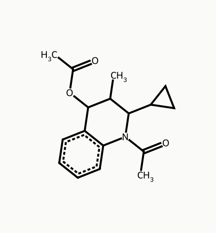 CC(=O)OC1c2ccccc2N(C(C)=O)C(C2CC2)C1C